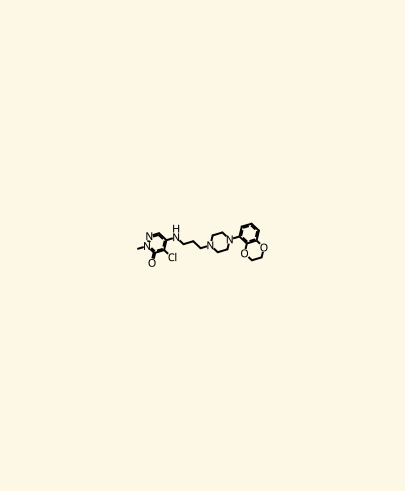 Cn1ncc(NCCCN2CCN(c3cccc4c3OCCO4)CC2)c(Cl)c1=O